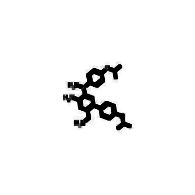 CC(C)Oc1ccc(-c2cc(N(N)c3ccc(OC(C)C)cc3)c(N)cc2CN)cc1